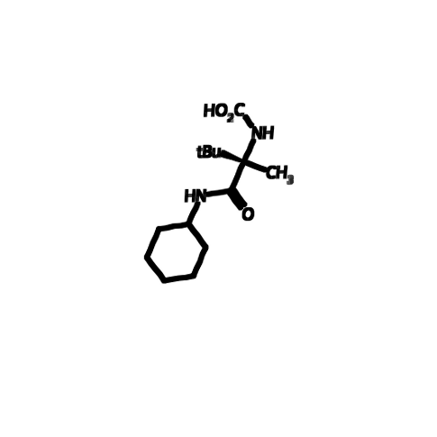 CC(C)(C)[C@](C)(NC(=O)O)C(=O)NC1CCCCC1